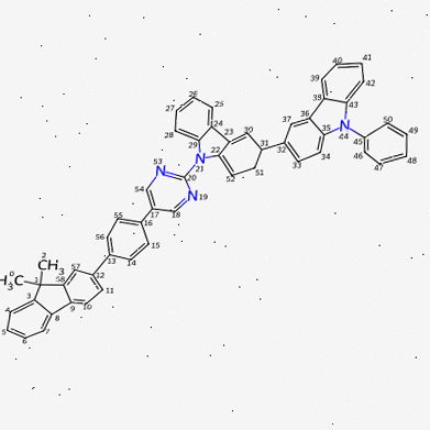 CC1(C)c2ccccc2-c2ccc(-c3ccc(-c4cnc(-n5c6c(c7ccccc75)=CC(c5ccc7c(c5)c5ccccc5n7-c5ccccc5)CC=6)nc4)cc3)cc21